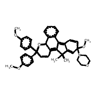 COc1ccc(C2(c3ccc(OC)cc3)C=CC3=C4C(=C5C=CC(OC)(N6CCOCC6)C=C5C4(C)C)c4ccccc4C3O2)cc1